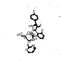 CO[C@@H](CO)[C@@H](Cc1ncccn1)NC(=O)c1cccc(F)c1-c1n[nH]c(-c2ccc(F)cc2)c1F